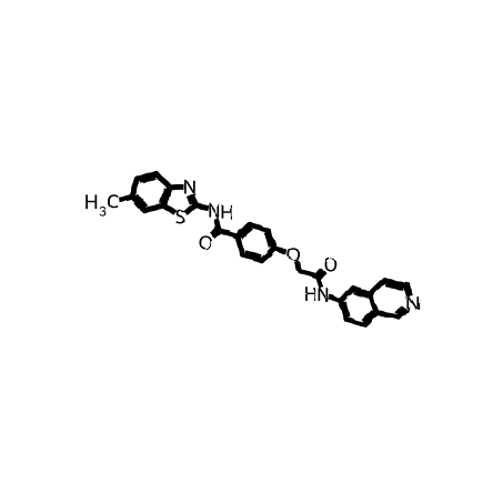 Cc1ccc2nc(NC(=O)c3ccc(OCC(=O)Nc4ccc5cnccc5c4)cc3)sc2c1